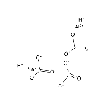 O=C([O-])[O-].O=C([O-])[O-].O=C([O-])[O-].[Al+3].[H+].[H+].[Na+]